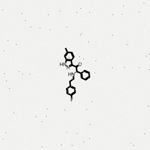 Cc1ccc2c(C(=O)[C@@H](NCCc3ccc(F)cc3)c3ccccc3)n[nH]c2c1